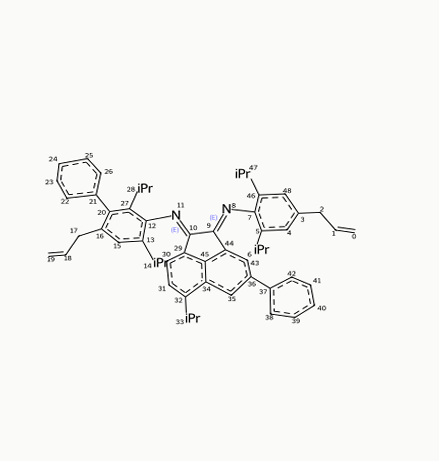 C=CCc1cc(C(C)C)c(/N=C2/C(=N/c3c(C(C)C)cc(CC=C)c(-c4ccccc4)c3C(C)C)c3ccc(C(C)C)c4cc(-c5ccccc5)cc2c34)c(C(C)C)c1